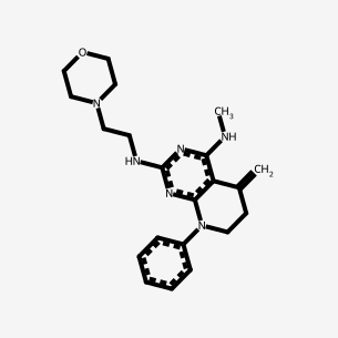 C=C1CCN(c2ccccc2)c2nc(NCCN3CCOCC3)nc(NC)c21